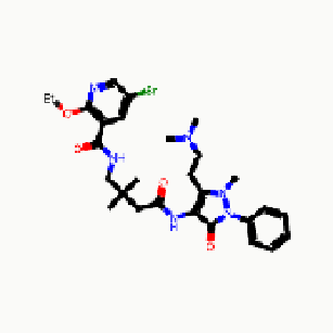 CCOc1ncc(Br)cc1C(=O)NCC(C)(C)CC(=O)Nc1c(CCN(C)C)n(C)n(-c2ccccc2)c1=O